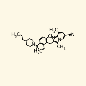 C=Cc1c(C(=O)N2CCC(CCC)CC2)ccc(Cl)c1Cc1nc2c(C)cc(C#N)cn2c1C